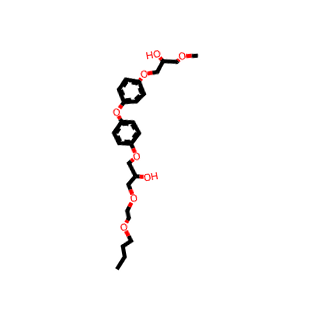 CCCCOCCOCC(O)COc1ccc(Oc2ccc(OCC(O)COC)cc2)cc1